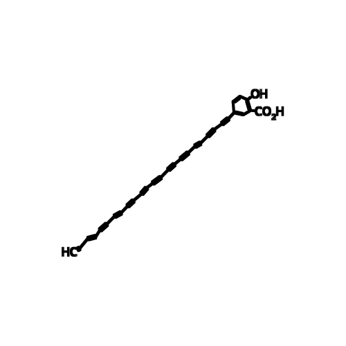 C#CC#CC#CC#CC#CC#CC#CC#CC#CC#CC#CC#Cc1ccc(O)c(C(=O)O)c1